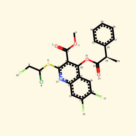 COC(=O)c1c(SC(Cl)CF)nc2cc(F)c(F)cc2c1OC(=O)[C@H](C)c1ccccc1